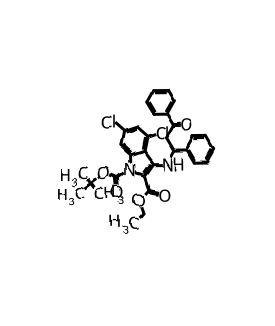 CCOC(=O)c1c(NC(CC(=O)c2ccccc2)c2ccccc2)c2c(Cl)cc(Cl)cc2n1C(=O)OC(C)(C)C